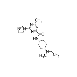 Cc1cc(C(=O)N[C@H]2CC[C@H](N(C)CC(F)(F)F)CC2)nc(-n2ccnc2)n1